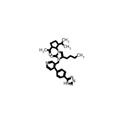 CCCCc1cn(C2C(C(C)=O)CCC2C(C)C)c(=O)n1Cc1cnccc1-c1ccc(-c2nnn[nH]2)cc1